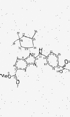 COC(=O)c1ccc2c(c1)nc(Nc1ccc(S(C)(=O)=O)cc1)n2[C@H]1CC(C)CC(C)(C)C1